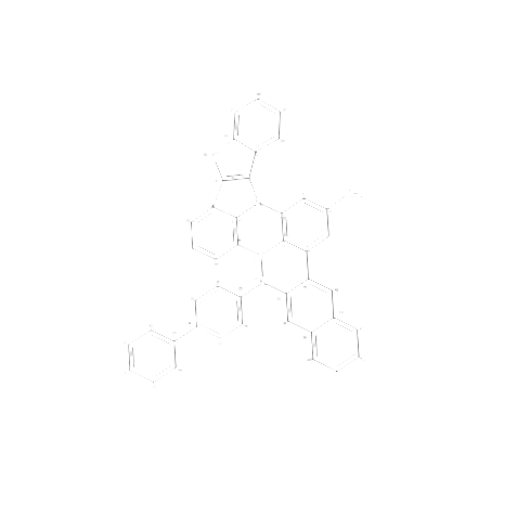 Cc1cc2c3c(c1)-n1c4c(cccc4c4sc5ccccc5c41)B3N(c1ccc(-c3ccccc3)cc1)c1cc3ccccc3cc1-2